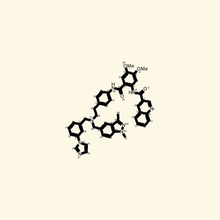 COc1cc(NC(=O)c2cnc3ccccc3c2)c(C(=O)Nc2ccc(CCN(Cc3cccc(-n4ccnc4)c3)Cc3ccc4c(c3)c(C)nn4C)cc2)cc1OC